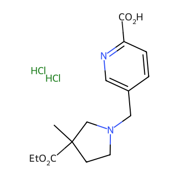 CCOC(=O)C1(C)CCN(Cc2ccc(C(=O)O)nc2)C1.Cl.Cl